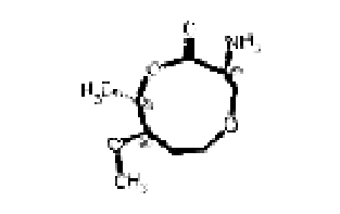 CO[C@@H]1CCOC[C@H](N)C(=O)O[C@H]1C